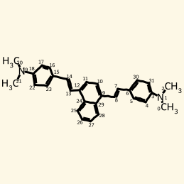 CN(C)c1ccc(C=Cc2ccc(C=Cc3ccc(N(C)C)cc3)c3ccccc23)cc1